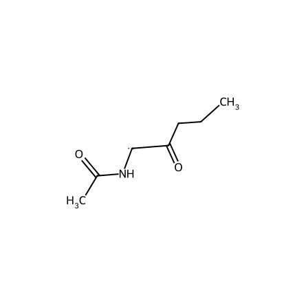 CCCC(=O)[CH]NC(C)=O